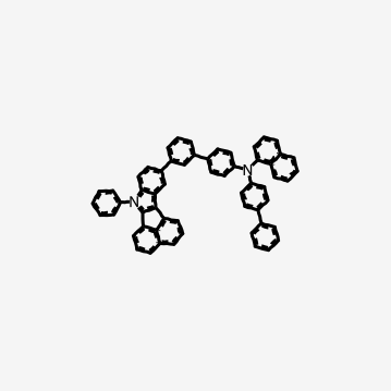 c1ccc(-c2ccc(N(c3ccc(-c4cccc(-c5ccc6c(c5)c5c(n6-c6ccccc6)-c6cccc7cccc-5c67)c4)cc3)c3cccc4ccccc34)cc2)cc1